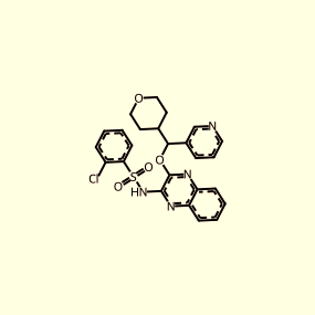 O=S(=O)(Nc1nc2ccccc2nc1OC(c1cccnc1)C1CCOCC1)c1ccccc1Cl